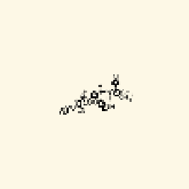 CC1(C)CCC(CNCCNc2ccc(C(=O)NS(=O)(=O)c3cnc(OCC4CCOCC4)c(C#N)c3)c(Oc3ccc4[nH]ccc4c3)c2)=C(c2ccc(Cl)cc2)C1